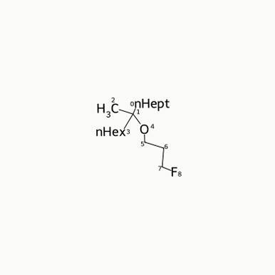 CCCCCCCC(C)(CCCCCC)OCCCF